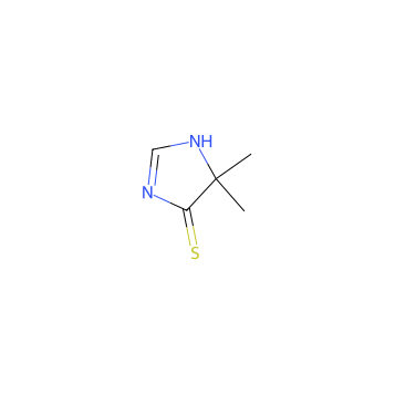 CC1(C)NC=NC1=S